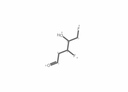 O=CCC(F)C(O)CF